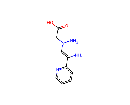 N/C(=C\N(N)CC(=O)O)c1ccccn1